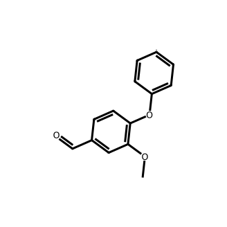 COc1cc(C=O)ccc1Oc1cc[c]cc1